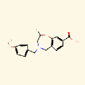 COc1ccc(CN2Cc3ccc(C(=O)O)cc3OC(C)C2)cc1